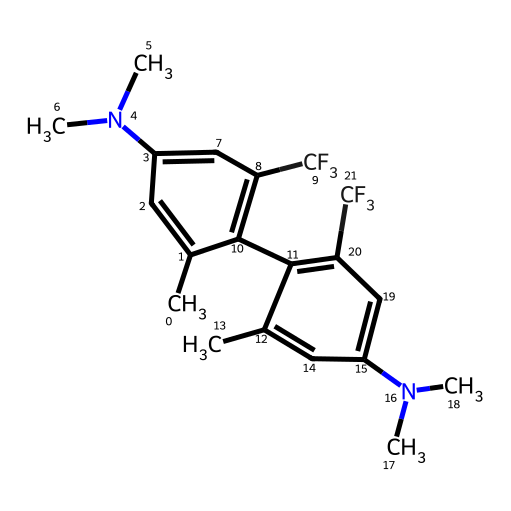 Cc1cc(N(C)C)cc(C(F)(F)F)c1-c1c(C)cc(N(C)C)cc1C(F)(F)F